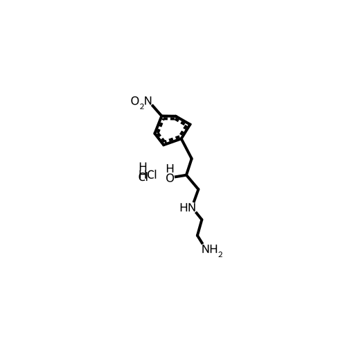 Cl.Cl.NCCNCC(O)Cc1ccc([N+](=O)[O-])cc1